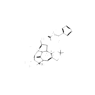 CC1=C[C@]23C(=O)[C@@H](C=C4COC(C)(C)O[C@H]4[C@]2(O)[C@H]1OC(=O)N(C)[C@@H](C)c1ccccc1)C(C)(C)[C@@H](C)C[C@H]3C